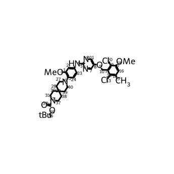 COc1cc(Nc2ncc(OCc3c(Cl)c(C)cc(OC)c3Cl)cn2)ccc1N1CCC2(CCN(C(=O)OC(C)(C)C)CC2)CC1